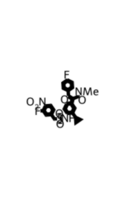 CNC(=O)c1c(-c2ccc(F)cc2)oc2cc(NS(=O)(=O)Cc3ccc([N+](=O)[O-])c(F)c3)c(C3CC3)cc12